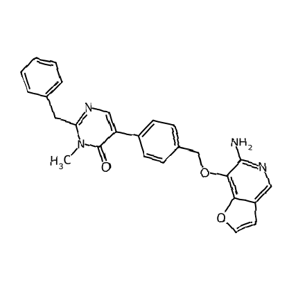 Cn1c(Cc2ccccc2)ncc(-c2ccc(COc3c(N)ncc4ccoc34)cc2)c1=O